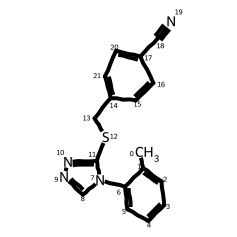 Cc1ccccc1-n1cnnc1SCc1ccc(C#N)cc1